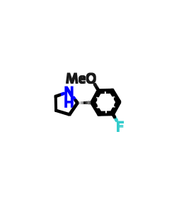 COc1ccc(F)cc1[C@@H]1CCCN1